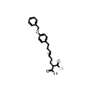 CCC(=O)C(CC/C=C/CCc1ccc(OCc2ccccc2)cc1)C(=O)CC